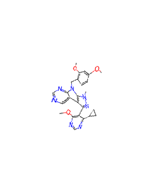 COc1ccc(Cn2c3ncncc3c3c(-c4c(OC)ncnc4C4CC4)nn(C)c32)c(OC)c1